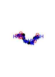 C[C@@H]1CNC(=O)c2cc3ccc(C(=O)Nc4cnn(Cc5ccc(N6CCN(CC7CCN(c8cccc9c8C(=O)N(N8CCC(=O)NC8=O)C9=O)CC7)CC6)cc5)c4)nc3n21